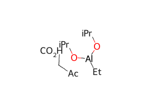 CC(=O)CC(=O)O.C[CH2][Al]([O]C(C)C)[O]C(C)C